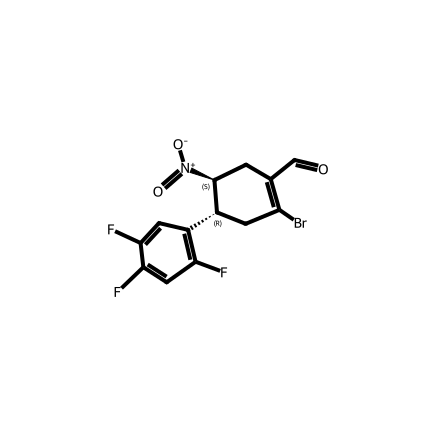 O=CC1=C(Br)C[C@H](c2cc(F)c(F)cc2F)[C@@H]([N+](=O)[O-])C1